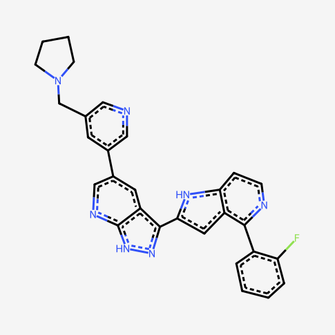 Fc1ccccc1-c1nccc2[nH]c(-c3n[nH]c4ncc(-c5cncc(CN6CCCC6)c5)cc34)cc12